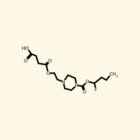 CCCC(F)OC(=O)N1CCN(CCOC(=O)CCC(=O)O)CC1